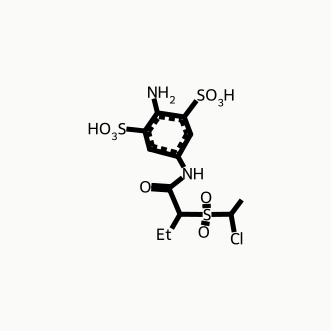 CCC(C(=O)Nc1cc(S(=O)(=O)O)c(N)c(S(=O)(=O)O)c1)S(=O)(=O)C(C)Cl